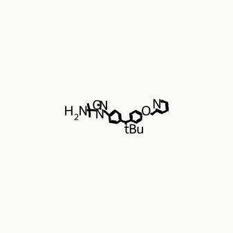 CC(C)(N)c1nc(-c2ccc(C(c3ccc(OCc4ccccn4)cc3)C(C)(C)C)cc2)no1